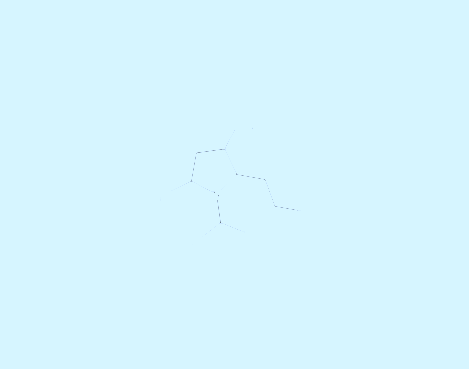 CCCC1C(C)CC(C)N1C(C)C